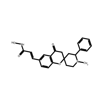 CN1CCC2(CC(=O)c3cc(C=CC(=O)NO)ccc3O2)CC1c1ccccc1